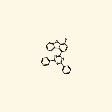 Fc1ccc(-c2nc(-c3ccccc3)nc(-c3ccccc3)n2)c2c1sc1ccccc12